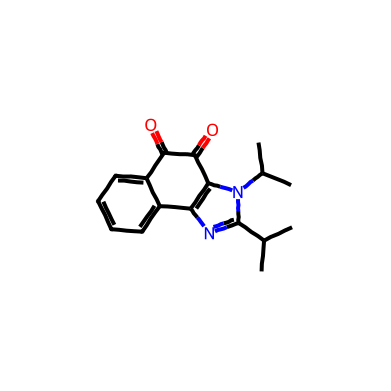 CC(C)c1nc2c(n1C(C)C)C(=O)C(=O)c1ccccc1-2